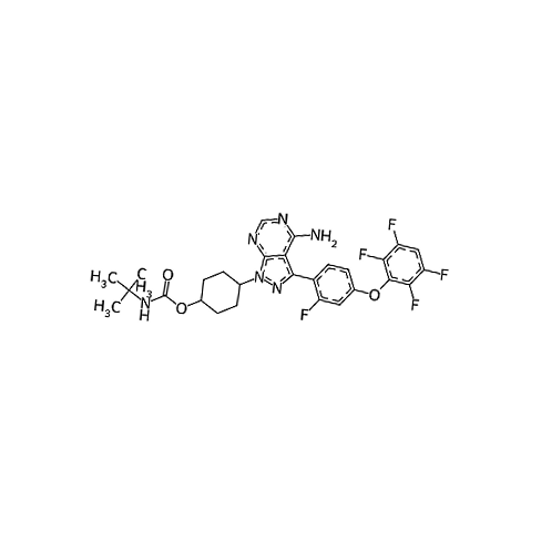 CC(C)(C)NC(=O)OC1CCC(n2nc(-c3ccc(Oc4c(F)c(F)cc(F)c4F)cc3F)c3c(N)ncnc32)CC1